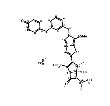 CSc1c2sc(C3=C(C(=O)O)N4C(=O)[C@H]([C@@H](C)O)[C@@H]4[C@H]3C)c[n+]2cn1Cc1cccc(C[n+]2ccc(=O)[nH]c2)c1.[Br-].[Br-]